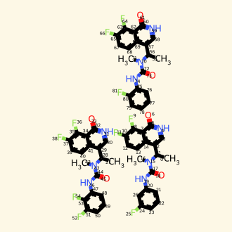 CC(c1c[nH]c(=O)c2c(F)c(F)ccc12)N(C)C(=O)Nc1cccc(F)c1.CC(c1c[nH]c(=O)c2c(F)c(F)ccc12)N(C)C(=O)Nc1cccc(F)c1F.CC(c1c[nH]c(=O)c2c(F)c(F)ccc12)N(C)C(=O)Nc1ccccc1F